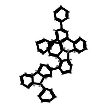 c1ccc(-c2cc(-c3ccccc3-n3c4ccccc4c4c(-c5ccc6c7ccccc7n(-c7ccccc7)c6c5)cccc43)nc(-c3ccccc3)n2)cc1